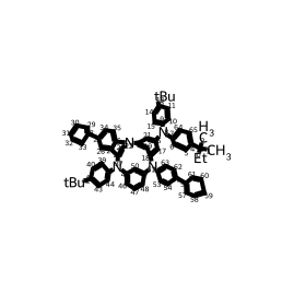 CCC(C)(C)c1ccc(N(c2ccc(C(C)(C)C)cc2)c2cc3cc(c2)n2cc(c4cc(-c5ccccc5)ccc42)n(-c2ccc(C(C)(C)C)cc2)c2cccc(c2)n3-c2ccc(-c3ccccc3)cc2)cc1